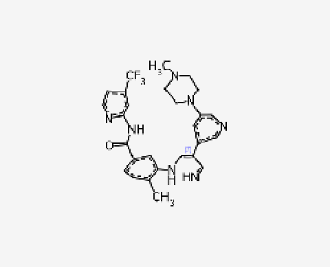 Cc1ccc(C(=O)Nc2cc(C(F)(F)F)ccn2)cc1N/C=C(\C=N)c1cncc(N2CCN(C)CC2)c1